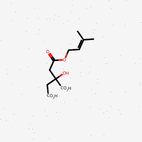 CC(C)=CCOC(=O)CC(O)(CC(=O)O)C(=O)O